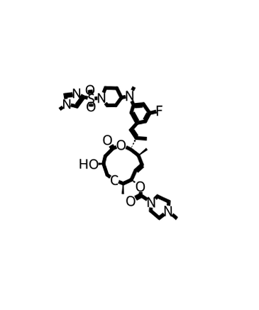 C/C(=C\c1cc(F)cc(N(C)C2CCN(S(=O)(=O)c3cn(C)cn3)CC2)c1)[C@H]1OC(=O)C[C@H](O)CC[C@H](C)[C@@H](OC(=O)N2CCN(C)CC2)/C=C/[C@@H]1C